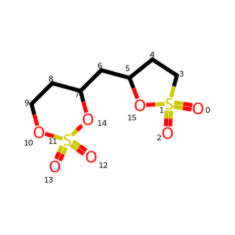 O=S1(=O)CCC(CC2CCOS(=O)(=O)O2)O1